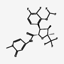 C[C@@H]1[C@H](c2ccc(F)c(F)c2OC(F)F)[C@@H](C(=O)Nc2ccn(C)c(=O)c2)O[C@]1(C)C(F)(F)F